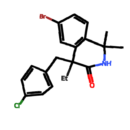 CCC1(Cc2ccc(Cl)cc2)C(=O)NC(C)(C)c2ccc(Br)cc21